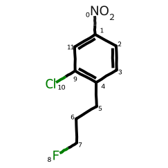 O=[N+]([O-])c1ccc(CCCF)c(Cl)c1